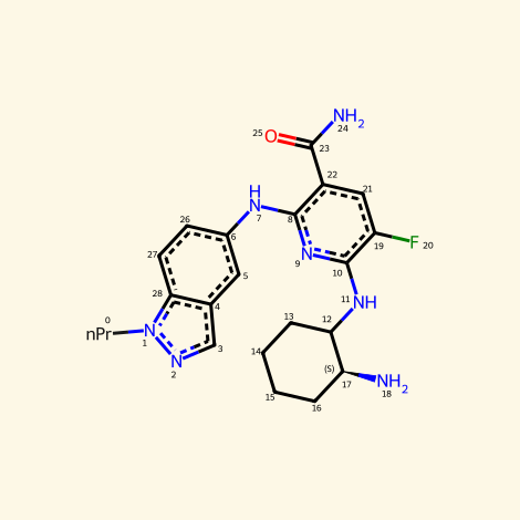 CCCn1ncc2cc(Nc3nc(NC4CCCC[C@@H]4N)c(F)cc3C(N)=O)ccc21